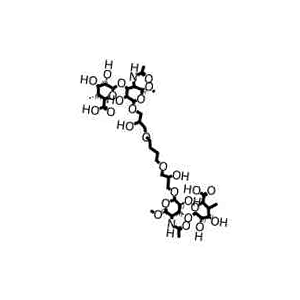 CO[C@H]1OC(OCC(O)COCCCCOCC(O)COC2O[C@@H](OC)C(NC(C)=O)[C@@H](OC3OC(C(=O)O)C(C)[C@@H](O)[C@H]3O)[C@@H]2O)C(O)C(OC2OC(C(=O)O)[C@H](C)C(O)[C@@H]2O)C1NC(C)=O